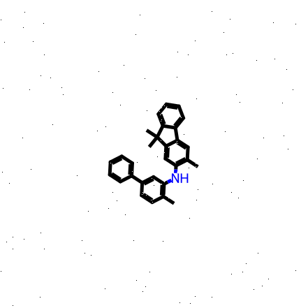 Cc1ccc(-c2ccccc2)cc1Nc1cc2c(cc1C)-c1ccccc1C2(C)C